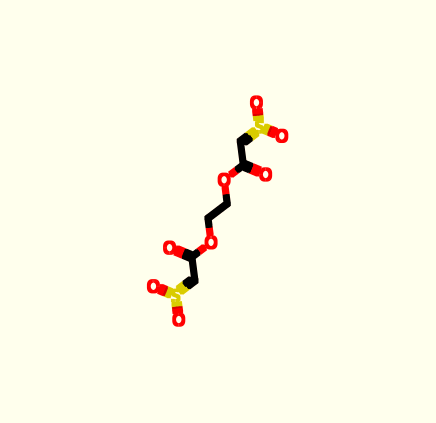 O=C(C=S(=O)=O)OCCOC(=O)C=S(=O)=O